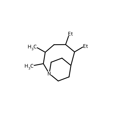 CCC1CC(C)C(C)N2CCC(CC2)C1CC